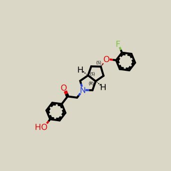 O=C(CN1C[C@H]2C[C@H](Oc3ccccc3F)C[C@H]2C1)c1ccc(O)cc1